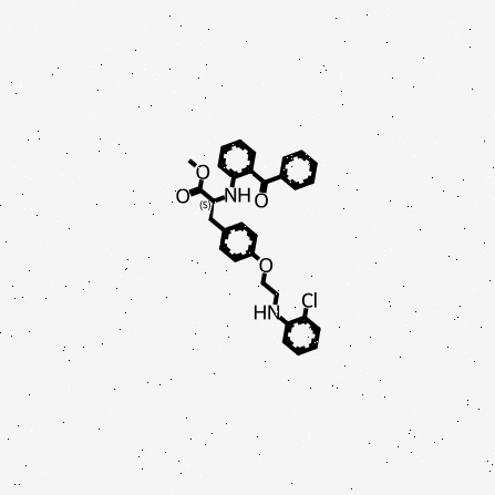 COC(=O)[C@H](Cc1ccc(OCCNc2ccccc2Cl)cc1)Nc1ccccc1C(=O)c1ccccc1